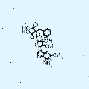 Cc1nc(N)c2ncn([C@@H]3O[C@H](COC(Cc4ccccc4)(C(=O)O)C(=O)O)[C@@](C)(O)[C@H]3O)c2n1